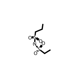 CCCS(=O)(=O)[N]S(=O)(=O)CC